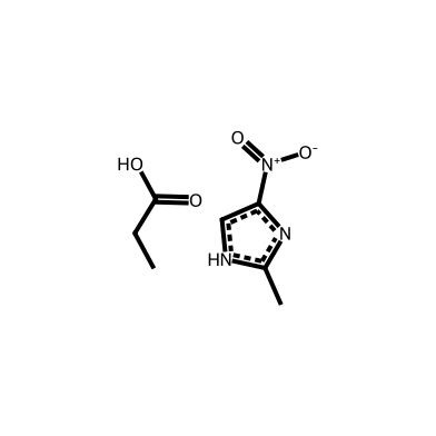 CCC(=O)O.Cc1nc([N+](=O)[O-])c[nH]1